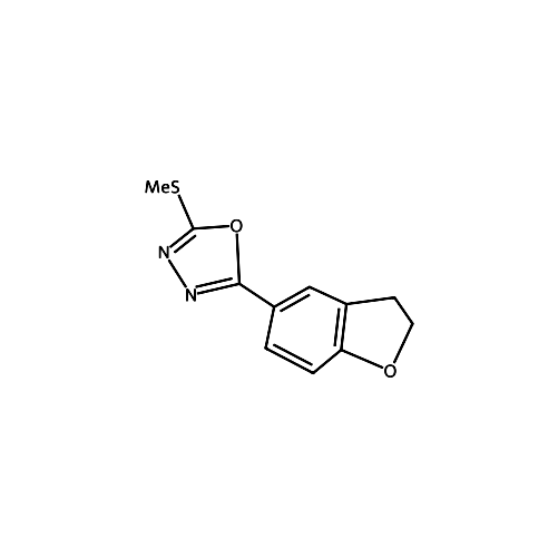 CSc1nnc(-c2ccc3c(c2)CCO3)o1